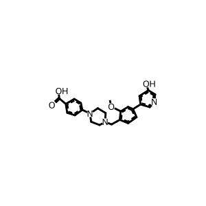 COc1cc(-c2cncc(O)c2)ccc1CN1CCN(c2ccc(C(=O)O)cc2)CC1